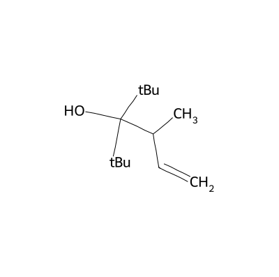 C=CC(C)C(O)(C(C)(C)C)C(C)(C)C